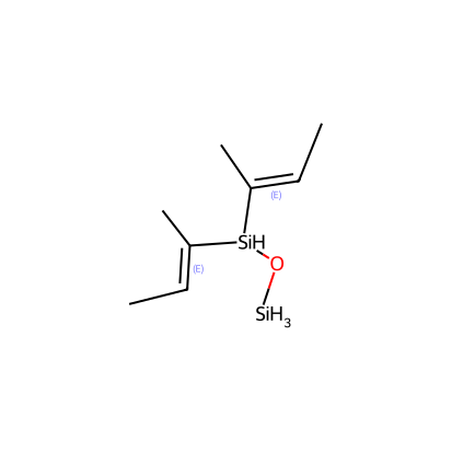 C/C=C(\C)[SiH](O[SiH3])/C(C)=C/C